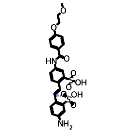 COCCOc1ccc(C(=O)Nc2ccc(/C=C/c3ccc(N)cc3S(=O)(=O)O)c(S(=O)(=O)O)c2)cc1